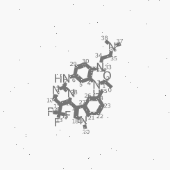 CC(=O)Nc1cc(Nc2ncc(C(F)(F)F)c(-c3cn(C)c4ccc(C)cc34)n2)ccc1N(C)CCN(C)C